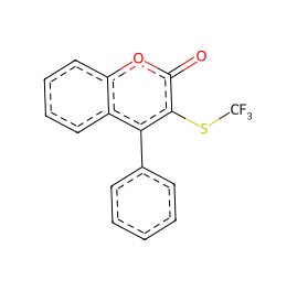 O=c1oc2ccccc2c(-c2ccccc2)c1SC(F)(F)F